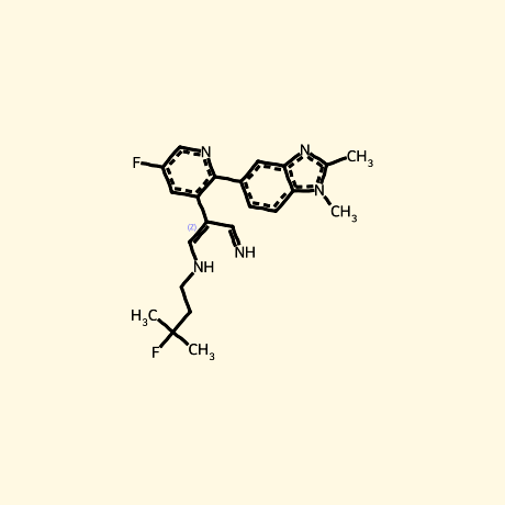 Cc1nc2cc(-c3ncc(F)cc3/C(C=N)=C/NCCC(C)(C)F)ccc2n1C